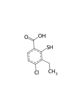 CCc1c(Cl)ccc(C(=O)O)c1S